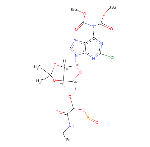 CC(C)CNC(=O)C(OC[C@H]1O[C@@H](n2cnc3c(N(C(=O)OC(C)(C)C)C(=O)OC(C)(C)C)nc(Cl)nc32)[C@@H]2OC(C)(C)O[C@@H]21)OP=O